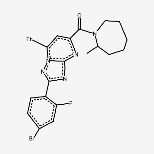 CCc1cc(C(=O)N2CCCCCC2C)nc2nc(-c3ccc(Br)cc3F)nn12